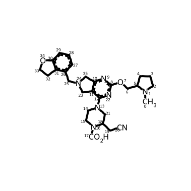 CN1CCCC1COc1nc2c(c(N3CCN(C(=O)O)C(CC#N)C3)n1)CN(Cc1cccc3c1CCO3)C2